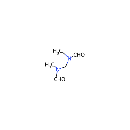 CN(C=O)CN(C)C=O